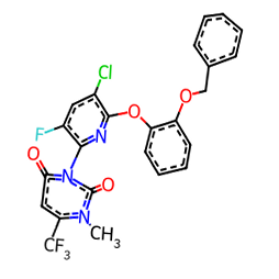 Cn1c(C(F)(F)F)cc(=O)n(-c2nc(Oc3ccccc3OCc3ccccc3)c(Cl)cc2F)c1=O